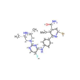 COc1c(C(N)=O)cc(Br)nc1-c1ccc(Nc2nc(N3C[C@@H](C)N[C@@H](C)C3)ncc2F)cc1